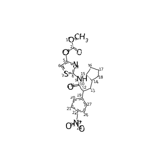 COC(=O)Oc1csc(NC(=O)C(CC2CCCC2)c2ccc([N+](=O)[O-])cc2)n1